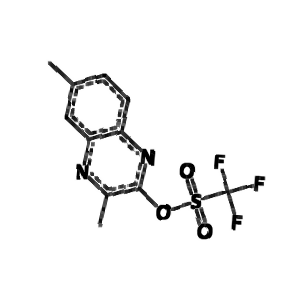 Cc1ccc2nc(OS(=O)(=O)C(F)(F)F)c(C)nc2c1